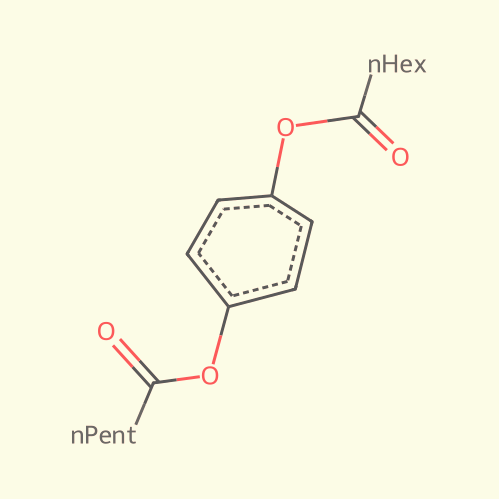 CCCCCCC(=O)Oc1ccc(OC(=O)CCCCC)cc1